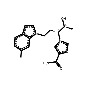 C[C@H](O)[C@@H](CCn1ccc2ccc(Cl)cc21)n1cnc(C(N)=O)c1